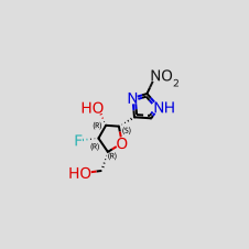 O=[N+]([O-])c1nc([C@@H]2O[C@H](CO)[C@H](F)[C@@H]2O)c[nH]1